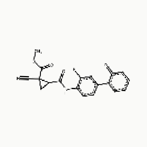 COC(=O)C1(C#N)CC1C(=O)Nc1ccc(-n2ccccc2=O)cc1F